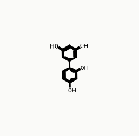 Oc1cc(O)cc(-c2ccc(O)cc2O)c1